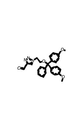 COc1ccc(C(OCCn2cc(C=O)nn2)(c2ccccc2)c2ccc(OC)cc2)cc1